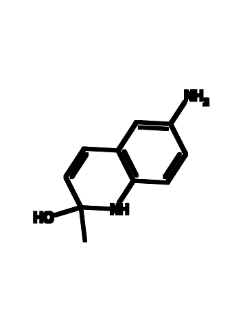 CC1(O)C=Cc2cc(N)ccc2N1